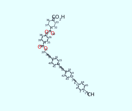 C#Cc1ccc(C#Cc2ccc(C#Cc3ccc(C#CCOC(=O)c4ccc(OC(=O)C5CCC(C(=O)O)CC5)cc4)cc3)cc2)cc1